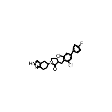 O=C1C(Cc2c(Cl)cc(-c3ccc(F)cc3)cc2Cl)CCN1C1CCc2n[nH]cc2C1